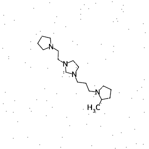 CC1CCCN1CCCN1[C]N(CCN2CCCC2)CC1